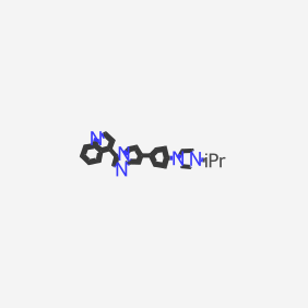 CC(C)N1CCN(c2ccc(-c3ccn4c(-c5ccnc6ccccc56)cnc4c3)cc2)CC1